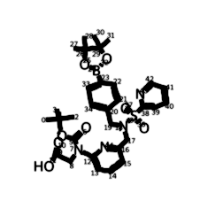 CC(C)(C)OC(=O)N(CC(=O)O)c1cccc(CN(Cc2ccc(B3OC(C)(C)C(C)(C)O3)cc2)S(=O)(=O)c2ccccn2)n1